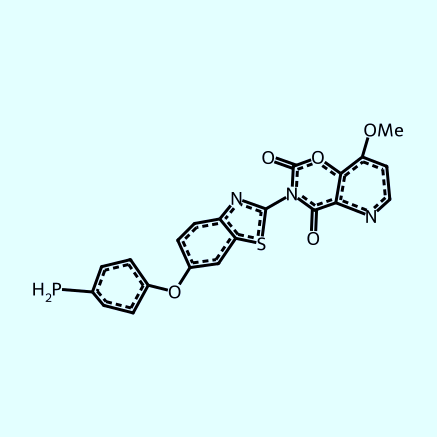 COc1ccnc2c(=O)n(-c3nc4ccc(Oc5ccc(P)cc5)cc4s3)c(=O)oc12